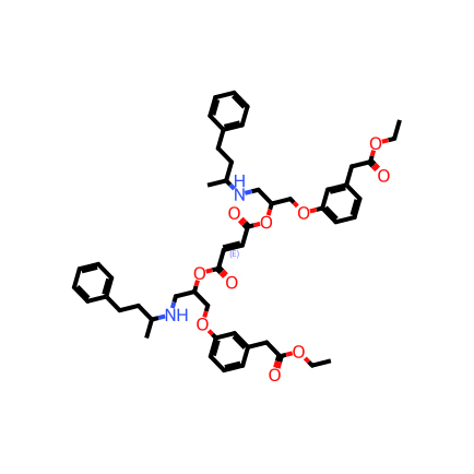 CCOC(=O)Cc1cccc(OCC(CNC(C)CCc2ccccc2)OC(=O)/C=C/C(=O)OC(CNC(C)CCc2ccccc2)COc2cccc(CC(=O)OCC)c2)c1